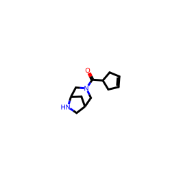 O=C(C1CC=CC1)N1CC2CNC(C2)C1